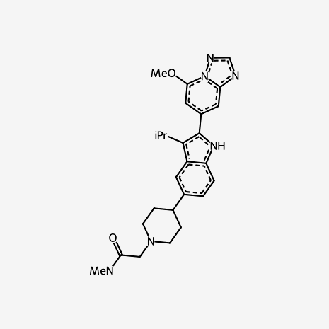 CNC(=O)CN1CCC(c2ccc3[nH]c(-c4cc(OC)n5ncnc5c4)c(C(C)C)c3c2)CC1